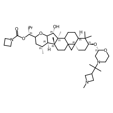 CC(C)[C@@H](OC(=O)N1CCC1)C1C[C@@H](C)[C@H]2C(O1)[C@H](O)[C@@]1(C)C3CC[C@H]4C(C)(C)[C@@H](O[C@H]5CN(C(C)(C)C6CN(C)C6)CCO5)CC[C@@]45CC35CC[C@]21C